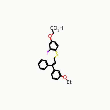 CCOc1cccc(C(=CCSc2ccc(OCC(=O)O)cc2I)c2ccccc2)c1